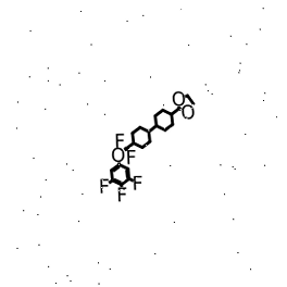 Fc1cc(OC(F)(F)C2CCC(C3CCC(C4OCCO4)CC3)CC2)cc(F)c1F